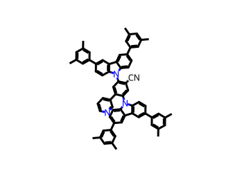 Cc1cc(C)cc(-c2ccc3c(c2)c2cc(-c4cc(C)cc(C)c4)ccc2n3-c2cc(-c3cccnc3)c(-n3c4ccc(-c5cc(C)cc(C)c5)cc4c4cc(-c5cc(C)cc(C)c5)ccc43)cc2C#N)c1